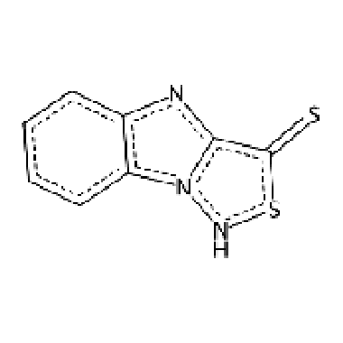 S=c1s[nH]n2c1nc1ccccc12